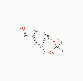 CC1(C)OCc2cc(C=O)ccc2O1